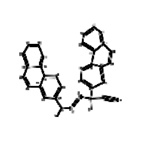 CC(N=NC(C)(C#N)c1ccc2c(ccc3ccccc32)c1)c1ccc2c(ccc3ccccc32)c1